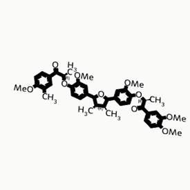 COc1ccc(C(=O)[C@@H](C)Oc2ccc(C3OC(c4ccc(O[C@H](C)C(=O)c5ccc(OC)c(OC)c5)c(OC)c4)[C@H](C)[C@H]3C)cc2OC)cc1C